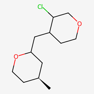 C[C@H]1CCOC(CC2CCOCC2Cl)C1